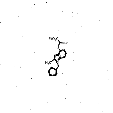 CCOC(=O)C(Oc1cccc2c1cc(C)n2Cc1ccccc1)C(C)C